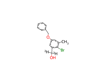 [2H]C([2H])(O)c1cc(OCc2ccccc2)cc(C)c1Br